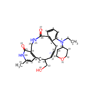 CCN(c1cccc2c1C/C=C\C(CO)Cc1cc(C)[nH]c(=O)c1CNC2=O)C1CCOCC1